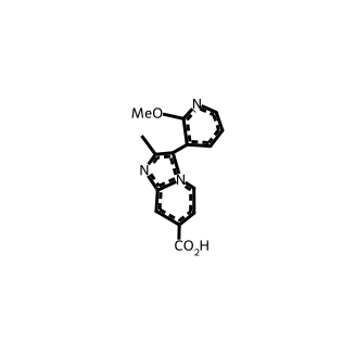 COc1ncccc1-c1c(C)nc2cc(C(=O)O)ccn12